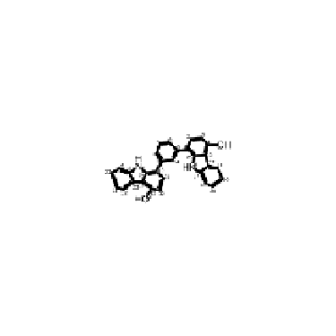 Oc1ccc(-c2cccc(-c3ccc(O)c4c3[nH]c3ccccc34)c2)c2[nH]c3ccccc3c12